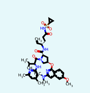 C=C[C@H](CCC(=O)NS(=O)(=O)C1CC1)NC(=O)[C@@H]1C[C@@H](Oc2nc(N(C)C)cc3cc(OC)ccc23)CN1C(=O)C(Nc1cc(C)cc(C)n1)C(C)C